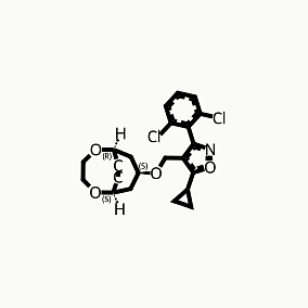 Clc1cccc(Cl)c1-c1noc(C2CC2)c1CO[C@@H]1C[C@H]2CC[C@@H](C1)OCCO2